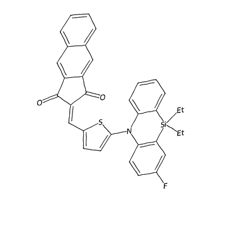 CC[Si]1(CC)c2ccccc2N(c2ccc(C=C3C(=O)c4cc5ccccc5cc4C3=O)s2)c2ccc(F)cc21